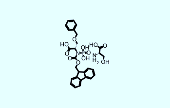 N[C@@H](CO)C(=O)O.O=C(O)[C@H](COCc1ccccc1)N(C(=O)OCC1c2ccccc2-c2ccccc21)P(=O)(O)O